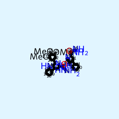 COc1cc(-c2nc(C(=O)NN)cc3c2[nH]c2ccccc23)cc(OC)c1OC.NNC(=O)c1cc2c(cn1)[nH]c1ccccc12